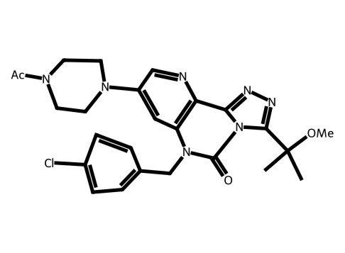 COC(C)(C)c1nnc2c3ncc(N4CCN(C(C)=O)CC4)cc3n(Cc3ccc(Cl)cc3)c(=O)n12